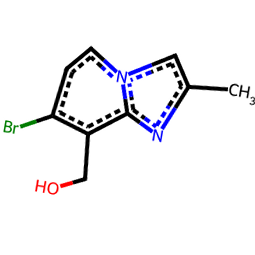 Cc1cn2ccc(Br)c(CO)c2n1